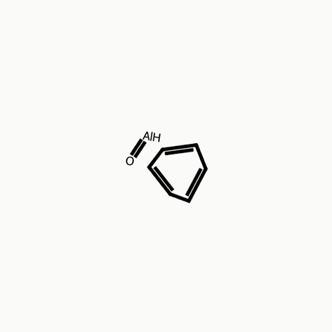 [O]=[AlH].c1ccccc1